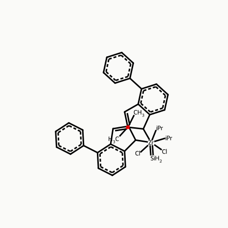 CC1=Cc2c(-c3ccccc3)cccc2[CH]1[Zr](=[SiH2])([Cl])([Cl])([CH](C)C)([CH](C)C)[CH]1C(C)=Cc2c(-c3ccccc3)cccc21